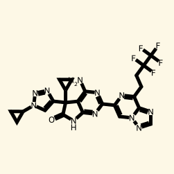 Nc1nc(-c2cn3ncnc3c(CCC(F)(F)C(F)(F)F)n2)nc2c1C(c1cn(C3CC3)nn1)(C1CC1)C(=O)N2